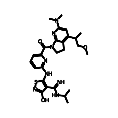 COCC(C)c1cc(N(C)C)nc2c1CCN2C(=O)c1cccc(Nc2snc(O)c2C(=N)NC(C)C)n1